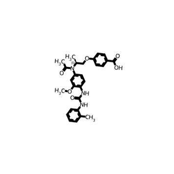 COc1cc(N(C(C)=O)[C@@H](C)COc2ccc(C(=O)O)cc2)ccc1NC(=O)Nc1ccccc1C